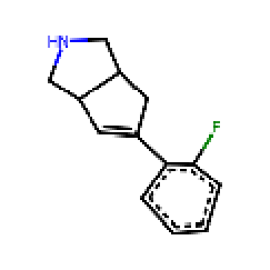 Fc1ccccc1C1=CC2CNCC2C1